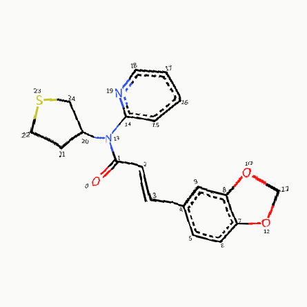 O=C(C=Cc1ccc2c(c1)OCO2)N(c1ccccn1)C1CCSC1